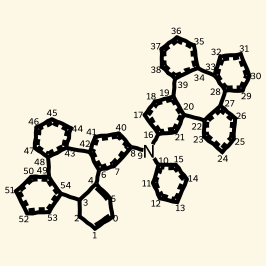 C1=CCC2C(=C1)c1cc(N(c3ccccc3)c3ccc4c(c3)-c3ccccc3-c3ccccc3-c3ccccc3-4)ccc1-c1ccccc1-c1ccccc12